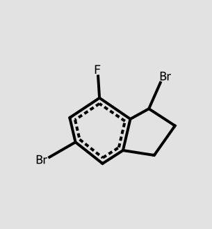 Fc1cc(Br)cc2c1C(Br)CC2